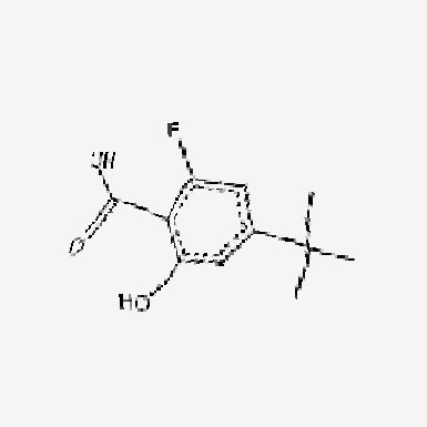 CC(C)(C)c1cc(O)c(C(=O)O)c(F)c1